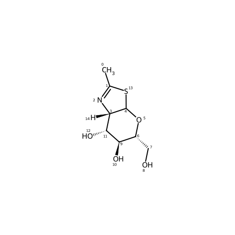 CC1=N[C@@H]2C(O[C@H](CO)[C@@H](O)[C@@H]2O)S1